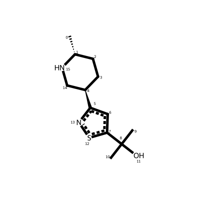 C[C@@H]1CC[C@@H](c2cc(C(C)(C)O)sn2)CN1